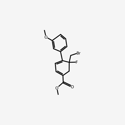 COC(=O)C1=CC=C(c2cccc(OC)c2)C(F)(CBr)C1